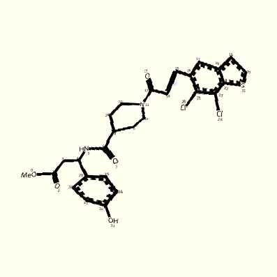 COC(=O)CC(NC(=O)C1CCN(C(=O)/C=C/c2cc3ccsc3c(Cl)c2Cl)CC1)c1ccc(O)cc1